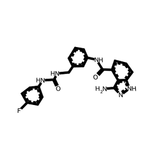 Nc1n[nH]c2cccc(C(=O)Nc3cccc(CNC(=O)Nc4ccc(F)cc4)c3)c12